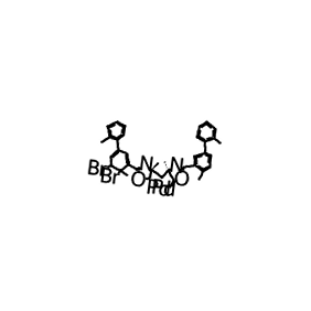 Cc1ccccc1C1=CC(Br)C(C)(Br)C(C2=N[C@](C)(C[C@@]3(C)N=C(c4cc(-c5ccccc5C)ccc4C)O[CH]3[Pd])[CH]([Pd])O2)=C1